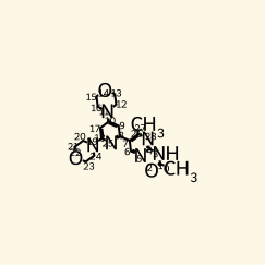 CC(=O)Nc1ncc(-c2cc(N3CCOCC3)cc(N3CCOCC3)n2)c(C)n1